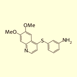 COc1cc2nccc(Sc3cccc(N)c3)c2cc1OC